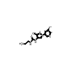 CCCNC(=O)Nc1cn(-c2cncc(F)c2)nc1Cl